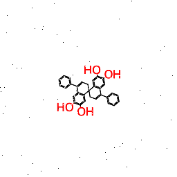 Oc1cc2c(cc1O)C1(CC=C2c2ccccc2)CC=C(c2ccccc2)c2cc(O)c(O)cc21